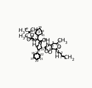 C=CCNC(=O)C(=O)C(CCC)NC(=O)[C@@H]1[C@H](c2ccccc2)CN1C(=O)C(NC(=O)OC(C)(C)C)C1CCCCC1